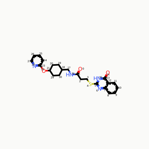 O=C(CCSc1nc2ccccc2c(=O)[nH]1)NCC1CCC(Oc2ccccn2)CC1